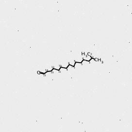 CC(C)CCCCCCCCCCCC[C]=O